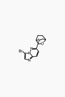 Brc1cnc2ccc(N3CC4CCC3CO4)nn12